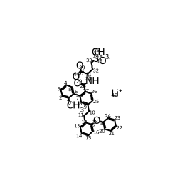 Cc1ccccc1-c1cc(CCc2ccccc2Oc2ccccc2)ccc1C(=O)NC(CC[S+](C)[O-])C(=O)[O-].[Li+]